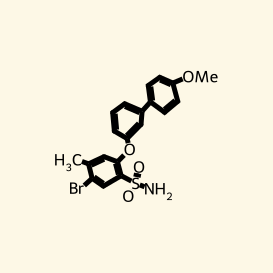 COc1ccc(-c2cccc(Oc3cc(C)c(Br)cc3S(N)(=O)=O)c2)cc1